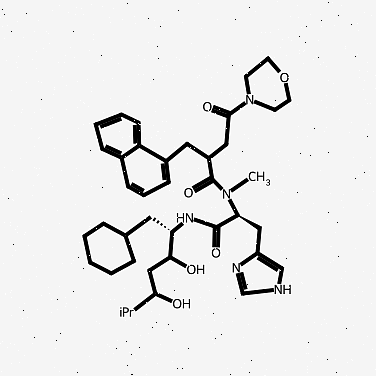 CC(C)C(O)CC(O)[C@H](CC1CCCCC1)NC(=O)[C@H](Cc1c[nH]cn1)N(C)C(=O)C(CC(=O)N1CCOCC1)Cc1cccc2ccccc12